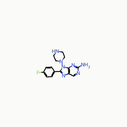 Nc1ncc2nc(-c3ccc(F)cc3)n(N3CCNCC3)c2n1